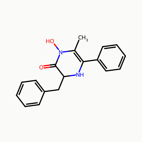 CC1=C(c2ccccc2)NC(Cc2ccccc2)C(=O)N1O